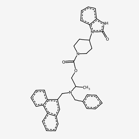 CC(COC(=O)N1CCC(n2c(=O)[nH]c3ccccc32)CC1)N(Cc1ccccc1)Cc1cc2ccccc2c2ccccc12